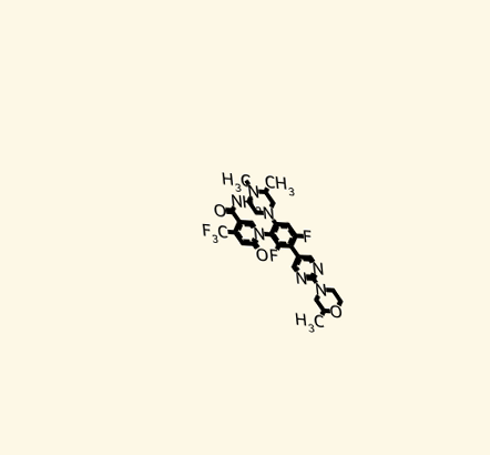 CC1CN(c2ncc(-c3c(F)cc(N4CCN(C)C(C)C4)c(-n4cc(C(N)=O)c(C(F)(F)F)cc4=O)c3F)cn2)CCO1